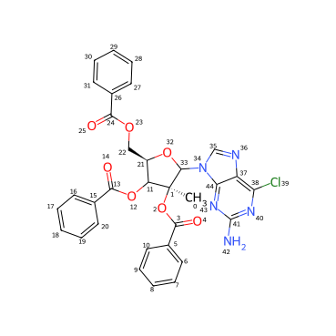 C[C@]1(OC(=O)c2ccccc2)C(OC(=O)c2ccccc2)[C@@H](COC(=O)c2ccccc2)OC1n1cnc2c(Cl)nc(N)nc21